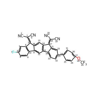 N#CC(C#N)=C1c2cc(F)ccc2-c2cc3c(cc21)C(=C(C#N)C#N)c1cc(-c2ccc(OC(F)(F)F)cc2)ccc1-3